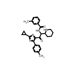 Cc1ccc(-c2sc(C3CC3)nc2C(=O)C(NC(=O)c2cccc(C)c2)C2CCCCN2)cc1